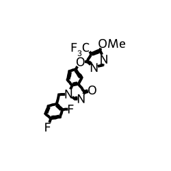 COc1ncnc(Oc2ccc3c(c2)c(=O)ncn3Cc2ccc(F)cc2F)c1C(F)(F)F